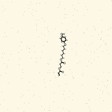 C=CC(=O)OCCC(=O)OCCCCCCOc1ccc(O)cc1